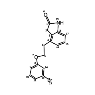 O=C1Cc2c(CCOc3cccc(Br)c3)cccc2N1